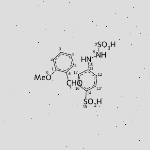 COc1ccccc1C=O.O=S(=O)(O)NNc1ccc(S(=O)(=O)O)cc1